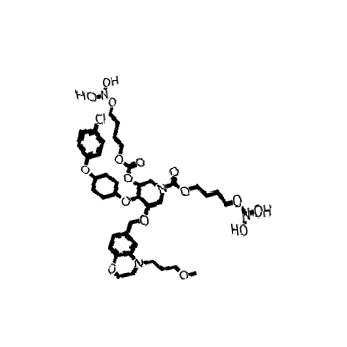 COCCCN1CCOc2ccc(COC3CN(C(=O)OCCCCON(O)O)CC(OC(=O)OCCCCON(O)O)C3OC3CCC(Oc4ccc(Cl)cc4)CC3)cc21